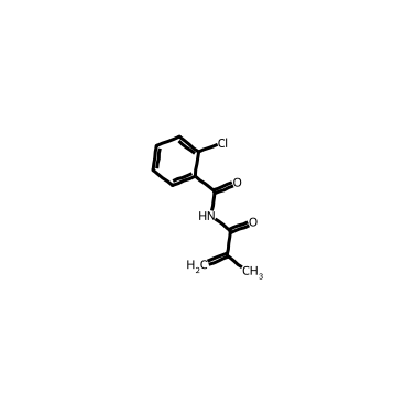 C=C(C)C(=O)NC(=O)c1ccccc1Cl